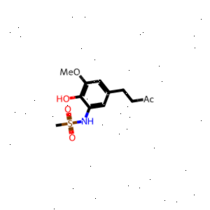 COc1cc(CCC(C)=O)cc(NS(C)(=O)=O)c1O